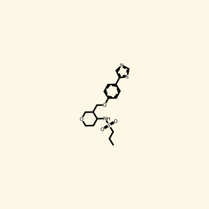 CCCS(=O)(=O)NC1CCOCC1COc1ccc(-c2cncs2)cc1